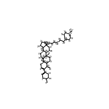 CC1CC=C(C2=CCC3(C)C(CCC4(C)C3CCC3C5CCCC5(NCCSCCN5CC[S+]([O-])CC5)CC[C@]34C)C2C)CC1